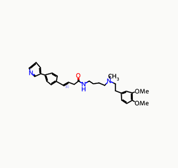 COc1ccc(CCN(C)CCCCNC(=O)C/C=C/c2ccc(-c3cccnc3)cc2)cc1OC